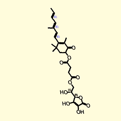 C/C=C/C=C(C)/C=C/C1=C(C)C(=O)C(OC(=O)CCC(=O)OC[C@H](O)[C@H]2OC(=O)C(O)=C2O)CC1(C)C